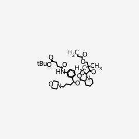 C=CC(=O)OCC(C)(C)C(=O)C(=O)N1CCCCC1C(=O)OC(CCCN1CCOCC1)c1cccc(NC(=O)CCC(=O)OC(C)(C)C)c1